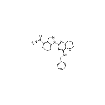 NC(=O)c1cccc2c1cnn2-c1nc2c(c(NCc3ccccc3)n1)OCCC2